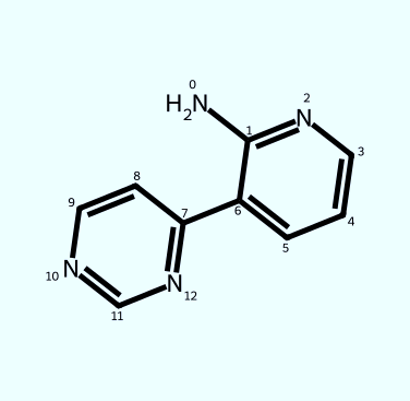 Nc1ncccc1-c1ccncn1